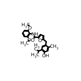 COc1cccc(OC)c1NC(=O)c1ccc(Cc2cc(C(C)C)c(O)cc2C)o1